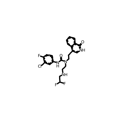 O=C(Nc1ccc(F)c(Cl)c1)N(CCNCC(F)F)CCc1c[nH]c(=O)c2ccccc12